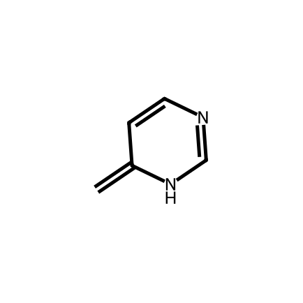 C=C1C=CN=CN1